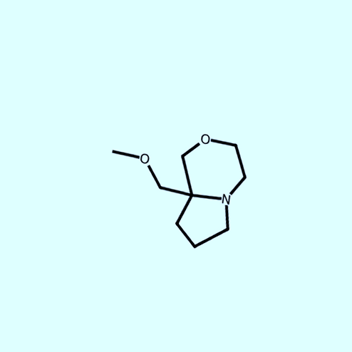 COCC12CCCN1CCOC2